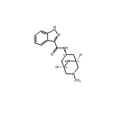 CN1C[C@H]2C[C@@H](NC(=O)c3n[nH]c4ccccc34)C[C@@H](C1)N2